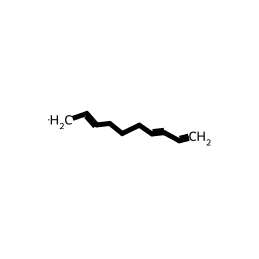 [CH2]C=CCCCC=CC=C